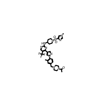 CC(=O)N1CCN(Cc2ccc(-n3cc(-c4nc(NC5CCN(S(=O)(=O)c6cn(C)cn6)CC5)ncc4C(F)(F)F)cn3)c(C)c2)CC1